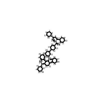 c1ccc(-c2cc3c4ccccc4nc(-c4ccc(-c5cccc(-n6c7ccccc7c7ccc8c(-c9ccccc9)nc9ccccc9c8c76)c5)cc4)n3n2)cc1